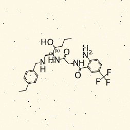 CCC[C@H](O)[C@H](CNCc1ccc(CC)cc1)NC(=O)CNC(=O)c1cc(C(F)(F)F)ccc1N